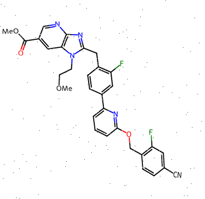 COCCn1c(Cc2ccc(-c3cccc(OCc4ccc(C#N)cc4F)n3)cc2F)nc2ncc(C(=O)OC)cc21